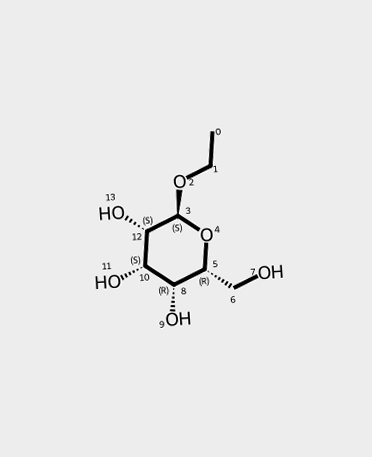 CCO[C@H]1O[C@H](CO)[C@H](O)[C@H](O)[C@@H]1O